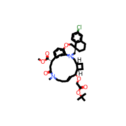 COC(=O)[C@H]1CC(=O)N(C)CC/C=C/[C@H](OCC(=O)OC(C)(C)C)[C@@H]2CC[C@H]2CN2C[C@@]3(CCCc4cc(Cl)ccc43)COc3ccc1cc32